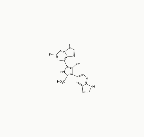 CC(C)c1c(-c2cc(F)cc3[nH]ccc23)[nH]c(C(=O)O)c1-c1ccc2[nH]ccc2c1